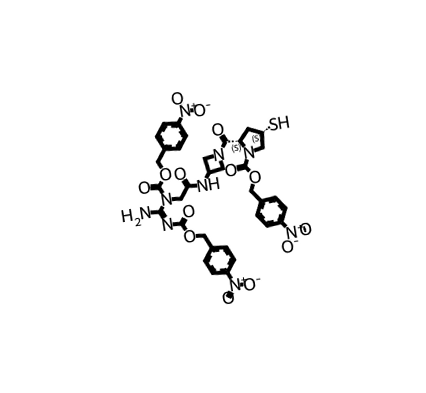 NC(=NC(=O)OCc1ccc([N+](=O)[O-])cc1)N(CC(=O)NC1CN(C(=O)[C@@H]2C[C@H](S)CN2C(=O)OCc2ccc([N+](=O)[O-])cc2)C1)C(=O)OCc1ccc([N+](=O)[O-])cc1